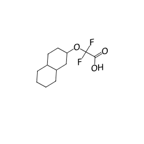 O=C(O)C(F)(F)OC1CCC2CCCCC2C1